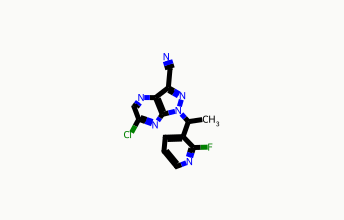 CC(c1cccnc1F)n1nc(C#N)c2ncc(Cl)nc21